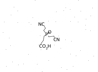 N#CCCP(=O)(CCC#N)CCCC(=O)O